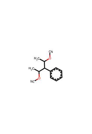 CC(OC#N)C(c1ccccc1)C(C)OC#N